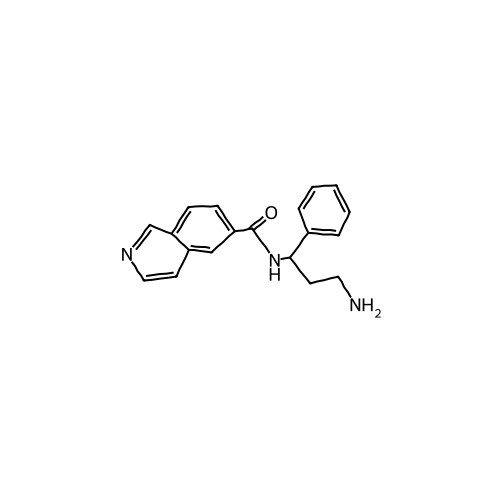 NCCC(NC(=O)c1ccc2cnccc2c1)c1ccccc1